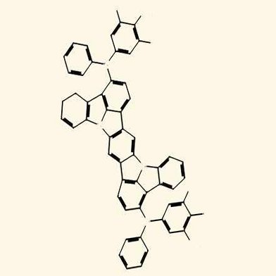 Cc1cc(N(c2ccccc2)c2ccc3c4cc5c(cc4n4c6c(c2c34)CCC=C6)c2ccc(N(c3ccccc3)c3cc(C)c(C)c(C)c3)c3c4ccccc4n5c23)cc(C)c1C